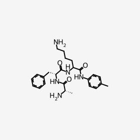 Cc1ccc(NC(=O)C(CCCCN)NC(=O)[C@@H](Cc2ccccc2)NC(=O)[C@H](C)N)cc1